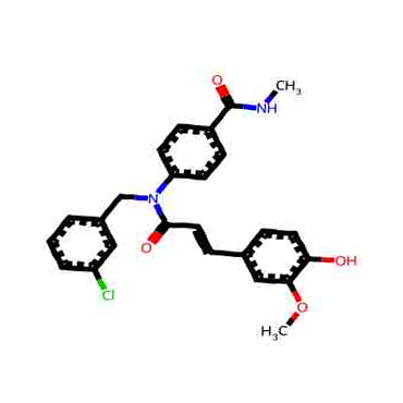 CNC(=O)c1ccc(N(Cc2cccc(Cl)c2)C(=O)/C=C/c2ccc(O)c(OC)c2)cc1